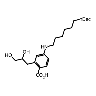 CCCCCCCCCCCCCCCCNc1ccc(C(=O)O)c(CC(O)CO)c1